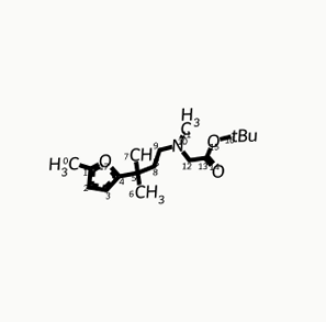 Cc1ccc(C(C)(C)CCN(C)CC(=O)OC(C)(C)C)o1